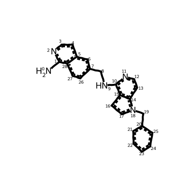 Nc1nccc2cc(CNc3nccc4c3ccn4Cc3ccccc3)ccc12